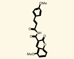 COc1ccc(/C=C/C(=O)NC(=O)c2cc3c(OC)cccc3oc2=O)cc1